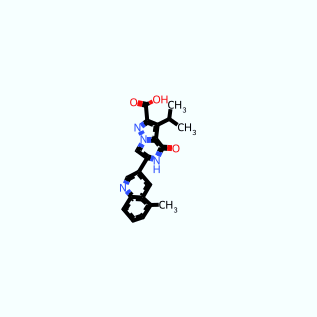 Cc1cccc2ncc(-c3cn4nc(C(=O)O)c(C(C)C)c4c(=O)[nH]3)cc12